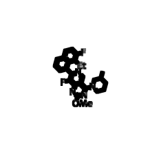 CCc1c(F)ccc2cccc(-c3ncc4c(N5CCCC(C)C5)nc(OC)nc4c3F)c12